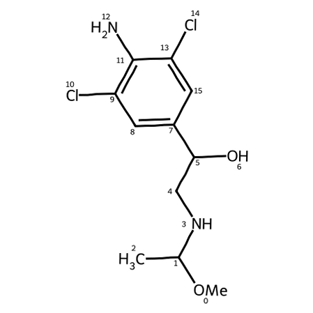 COC(C)NCC(O)c1cc(Cl)c(N)c(Cl)c1